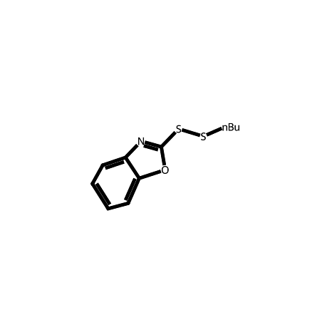 CCCCSSc1nc2ccccc2o1